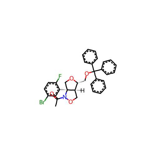 CC(=O)N1OC[C@@H]2[C@@H](COC(c3ccccc3)(c3ccccc3)c3ccccc3)OC[C@@]21c1cc(Br)ccc1F